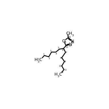 CCCCCCC(CCCCCC)c1nnc(C)o1